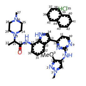 COc1nn(C)cc1Nc1nccc(-c2c[nH]c3c(NC(=O)C(C)N4CCN(C)CC4)cccc23)n1.Cl.c1ccc2ccccc2c1